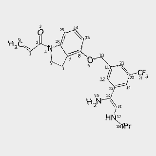 C=CC(=O)N1CCc2c(OCc3cc(/C(N)=C/NC(C)C)cc(C(F)(F)F)c3)cccc21